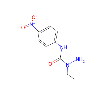 CCN(N)C(=O)Nc1ccc([N+](=O)[O-])cc1